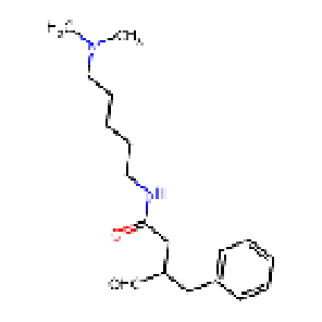 CN(C)CCCCCNC(=O)CC(C=O)Cc1ccccc1